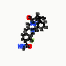 CNC(=O)c1ccc(C[C@@H](CNC(=O)C2C[C@]2(C)c2ccccc2)N(C)C)cc1F